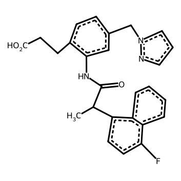 CC(C(=O)Nc1cc(Cn2cccn2)ccc1CCC(=O)O)c1ccc(F)c2ccccc12